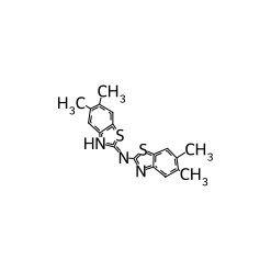 Cc1cc2nc(N=c3[nH]c4cc(C)c(C)cc4s3)sc2cc1C